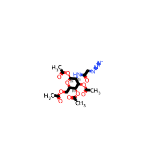 CC(=O)OCC1O[C@@H](OC(C)=O)[C@@H](NC(=O)CN=[N+]=[N-])C(OC(C)=O)[C@H]1OC(C)=O